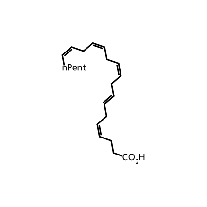 CCCCC/C=C\C/C=C\C/C=C\C/C=C/C/C=C\CCC(=O)O